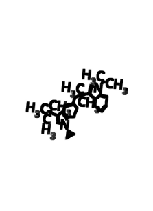 CC(C)n1cc(C(C)(C)CC2=Cc3c(C(C)(C)C)cn(C4CC4)c3CC2)c2ccccc21